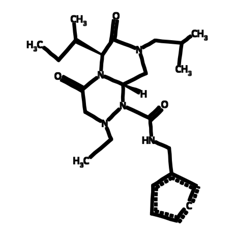 CCC(C)[C@H]1C(=O)N(CC(C)C)C[C@H]2N1C(=O)CN(CC)N2C(=O)NCc1ccccc1